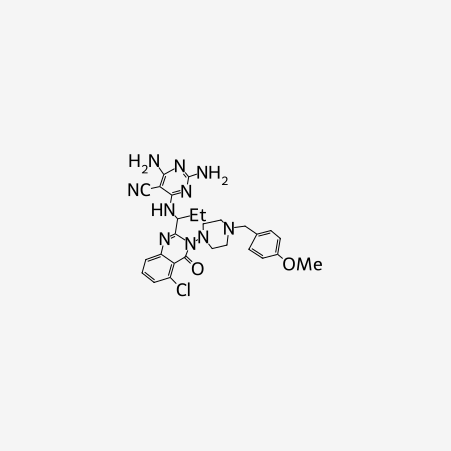 CCC(Nc1nc(N)nc(N)c1C#N)c1nc2cccc(Cl)c2c(=O)n1N1CCN(Cc2ccc(OC)cc2)CC1